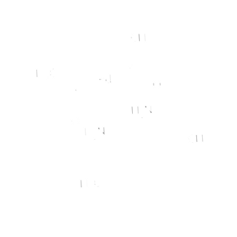 CC(N)CC(C)N.C[C](=O)[Pd][C](C)=O